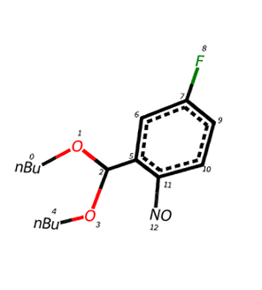 CCCCOC(OCCCC)c1cc(F)ccc1N=O